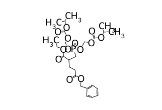 CCOC(=O)C(CCC(=O)OCc1ccccc1)CP(=O)(OCOC(=O)OC(C)C)OCOC(=O)OC(C)C